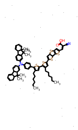 CCCCCCc1cc(-c2sc(C3=CC4Sc5cc(/C=C(/C#N)C(=O)O)sc5C4S3)cc2CCCCCC)sc1-c1ccc(N(C2=CC3C(C=C2)C2=CC=CCC2C3(C)C)c2ccc3c(c2)C(C)(C)C2(C)C=CC=CC32)cc1